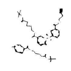 C#CCCNC(=O)c1cccc(S(=O)(=O)n2cc(C(=O)NCCCCC(=O)OC(C)(C)C)ccc2=O)c1.CC(C)(C)OC(=O)CCCCNC(=O)c1ccc(O)nc1